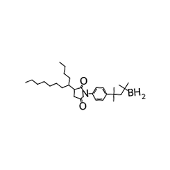 BC(C)(C)CC(C)(C)c1ccc(N2C(=O)CC(C(CCCC)CCCCCCC)C2=O)cc1